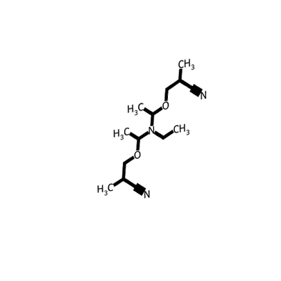 CCN(C(C)OCC(C)C#N)C(C)OCC(C)C#N